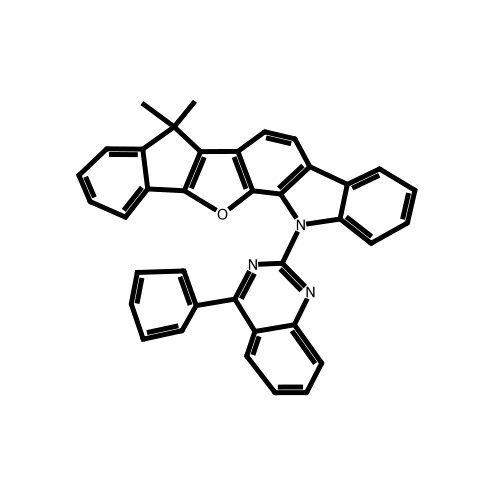 CC1(C)c2ccccc2-c2oc3c(ccc4c5ccccc5n(-c5nc(-c6ccccc6)c6ccccc6n5)c43)c21